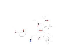 COC(=O)N1CC[C@@H](C[C@@H](C#N)NC(=O)[C@@H]2[C@@H]3[C@H](CN2C(=O)[C@@H](N(C(=O)OC)C(=O)C(F)(F)F)C(C)(C)C)C3(C)C)C1=O